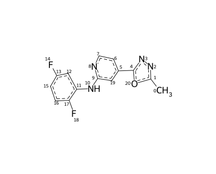 Cc1nnc(-c2ccnc(Nc3cc(F)ccc3F)c2)o1